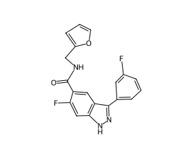 O=C(NCc1ccco1)c1cc2c(-c3cccc(F)c3)n[nH]c2cc1F